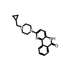 O=c1[nH]c2ccc(N3CCN(CC4CC4)CC3)nc2c2ccccc12